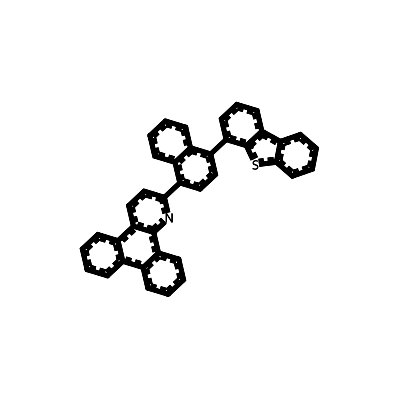 c1ccc2c(c1)sc1c(-c3ccc(-c4ccc5c6ccccc6c6ccccc6c5n4)c4ccccc34)cccc12